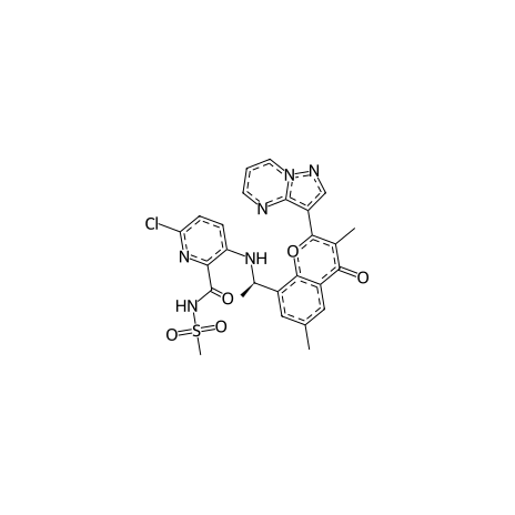 Cc1cc([C@@H](C)Nc2ccc(Cl)nc2C(=O)NS(C)(=O)=O)c2oc(-c3cnn4cccnc34)c(C)c(=O)c2c1